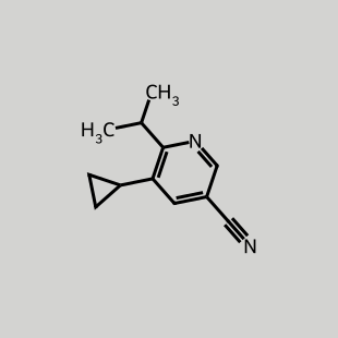 CC(C)c1ncc(C#N)cc1C1CC1